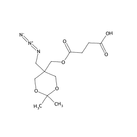 CC1(C)OCC(CN=[N+]=[N-])(COC(=O)CCC(=O)O)CO1